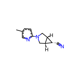 Cc1ccc(N2C[C@@H]3[C@H](C#N)[C@@H]3C2)nc1